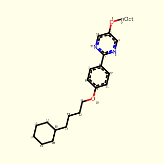 CCCCCCCCOc1cnc(-c2ccc(OCCCCC3CCCCC3)cc2)nc1